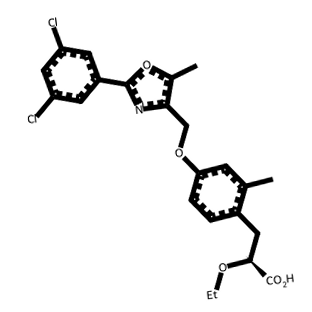 CCO[C@@H](Cc1ccc(OCc2nc(-c3cc(Cl)cc(Cl)c3)oc2C)cc1C)C(=O)O